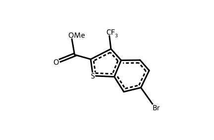 COC(=O)c1sc2cc(Br)ccc2c1C(F)(F)F